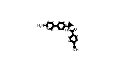 C#Cc1ccc(C(=O)NC2(c3ccc(-c4ccc(N)nc4)cc3)CC2)cc1